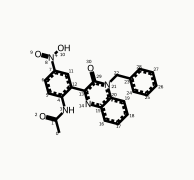 CC(=O)Nc1ccc([N+](=O)O)cc1-c1nc2ccccc2n(Cc2ccccc2)c1=O